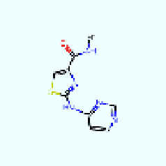 CCNC(=O)c1csc(Nc2ccncn2)n1